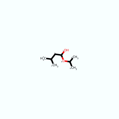 CC(C)CC(O)OC(C)C